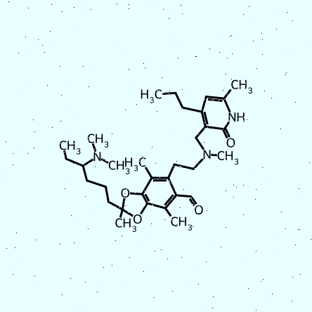 CCCc1cc(C)[nH]c(=O)c1CN(C)CCc1c(C)c2c(c(C)c1C=O)OC(C)(CCCC(CC)N(C)C)O2